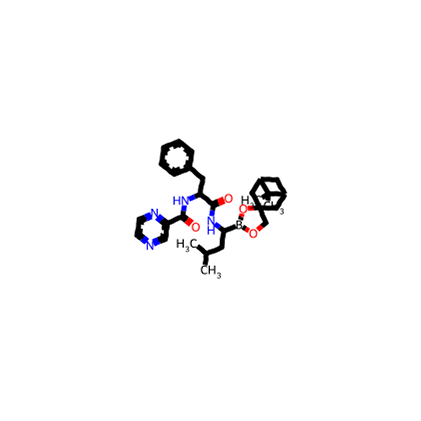 CC(C)CC(NC(=O)C(Cc1ccccc1)NC(=O)c1cnccn1)B1OCC2(CC3CC(C2)C3(C)C)O1